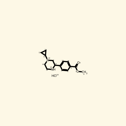 COC(=O)c1ccc(C2CN(C3CC3)CCN2)cc1.Cl